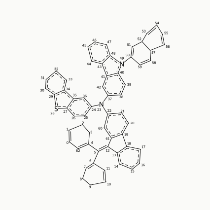 C1=CCCC(/C(C2=CCCC=C2)=C2/c3ccccc3-c3ccc(N(c4ccc5sc6ccccc6c5c4)c4ccc5c(c4)c4ccccc4n5C4=CC5C=CC=CC5C=C4)cc32)=C1